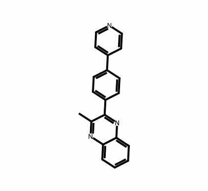 Cc1nc2ccccc2nc1-c1ccc(-c2ccncc2)cc1